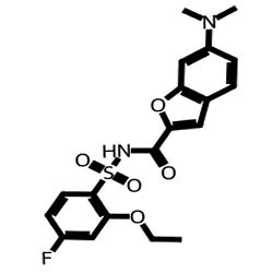 CCOc1cc(F)ccc1S(=O)(=O)NC(=O)c1cc2ccc(N(C)C)cc2o1